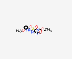 CCOC(=O)CNC(=O)c1sc(NC(=O)c2cccc(OC)c2)nc1C